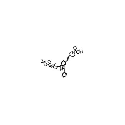 CC(C)(C)OC(=O)CN1CCC(c2nn(Cc3ccccc3)c3cc(/C=C/C4CCN(C(=O)O)CC4)ccc23)CC1